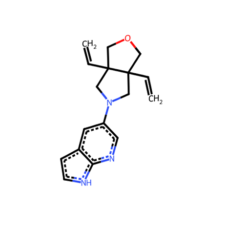 C=CC12COCC1(C=C)CN(c1cnc3[nH]ccc3c1)C2